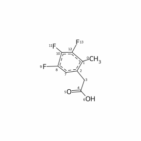 Cc1c(CC(=O)O)cc(F)c(F)c1F